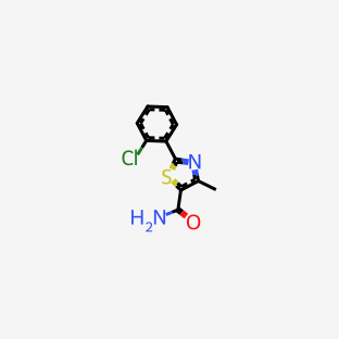 Cc1nc(-c2ccccc2Cl)sc1C(N)=O